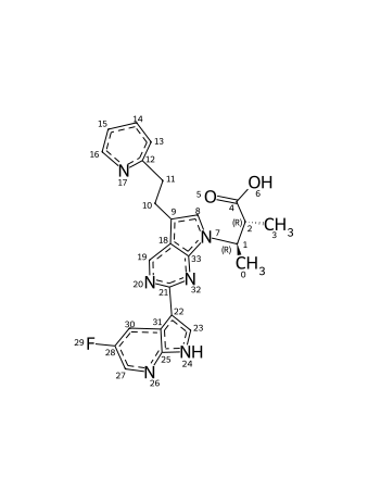 C[C@H]([C@@H](C)C(=O)O)n1cc(CCc2ccccn2)c2cnc(-c3c[nH]c4ncc(F)cc34)nc21